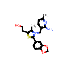 Cc1ccc(C[n+]2c(-c3ccc4c(c3)OCO4)sc(CCO)c2C)c(N)n1